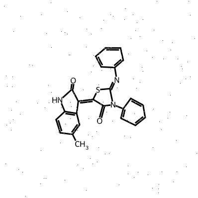 Cc1ccc2c(c1)/C(=C1/S/C(=N\c3ccccc3)N(c3ccccc3)C1=O)C(=O)N2